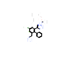 CCOC(C)n1cc(-c2c(C)c(Cl)c(F)c(CCN)c2-c2ccccc2)cn1